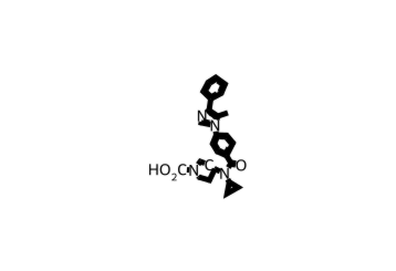 Cc1c(-c2ccccc2)ncn1-c1ccc(C(=O)N(C2CC2)C2CCN(C(=O)O)CC2)cc1